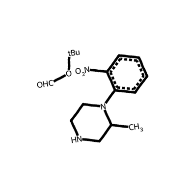 CC(C)(C)OC=O.CC1CNCCN1c1ccccc1[N+](=O)[O-]